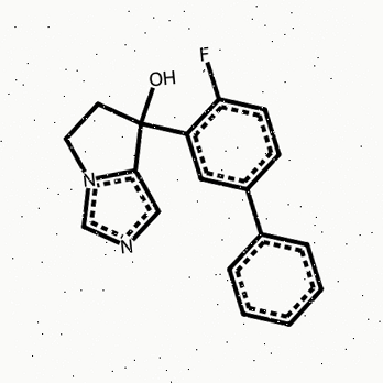 OC1(c2cc(-c3ccccc3)ccc2F)CCn2cncc21